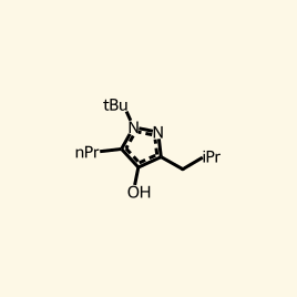 CCCc1c(O)c(CC(C)C)nn1C(C)(C)C